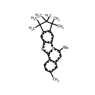 Cc1ccc2c(c1)cc(C(C)(C)C)n1c3cc4c(cc3nc21)C(C)(C)C(C)(C)C4(C)C